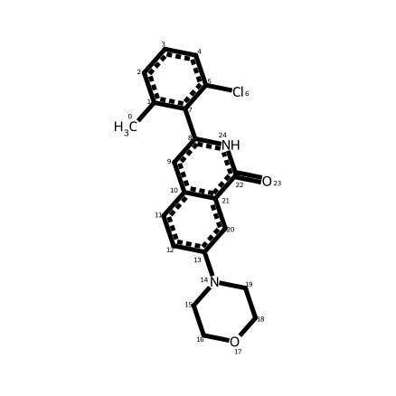 Cc1cccc(Cl)c1-c1cc2ccc(N3CCOCC3)cc2c(=O)[nH]1